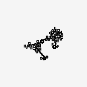 CC[C@H](C)[C@@H]([C@@H](CC(=O)N1C[C@@H](OC(=O)OCc2ccc(NC(=O)[C@H](CCCNC(N)=O)NC(=O)[C@@H](NC(=O)CCCCCN3C(=O)C=CC3=O)C(C)C)cc2)C[C@H]1[C@H](OC)[C@@H](C)C(=O)NCCc1c(F)cccc1F)OC)N(C)C(=O)[C@@H](NC(=O)[C@H](C(C)C)N(C)C)C(C)C